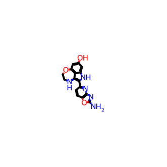 Nc1nc2nc(-c3[nH]c4cc(O)cc5c4c3NCCO5)ccc2o1